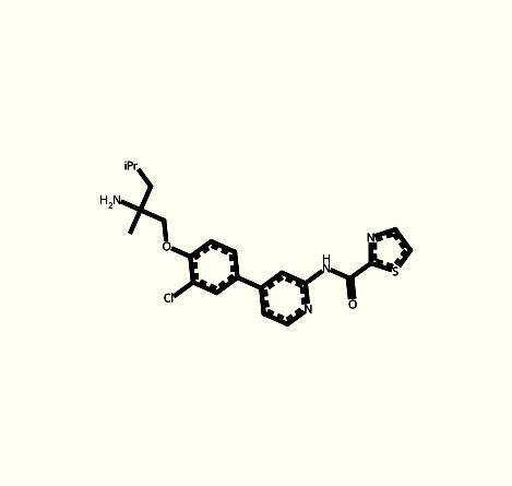 CC(C)CC(C)(N)COc1ccc(-c2ccnc(NC(=O)c3nccs3)c2)cc1Cl